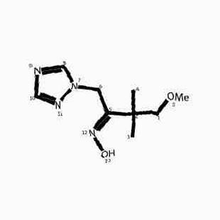 COCC(C)(C)C(Cn1cncn1)=NO